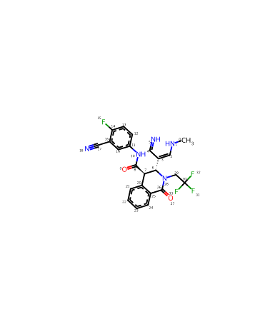 CN/C=C(\C=N)[C@H]1[C@H](C(=O)Nc2ccc(F)c(C#N)c2)c2ccccc2C(=O)N1CC(F)(F)F